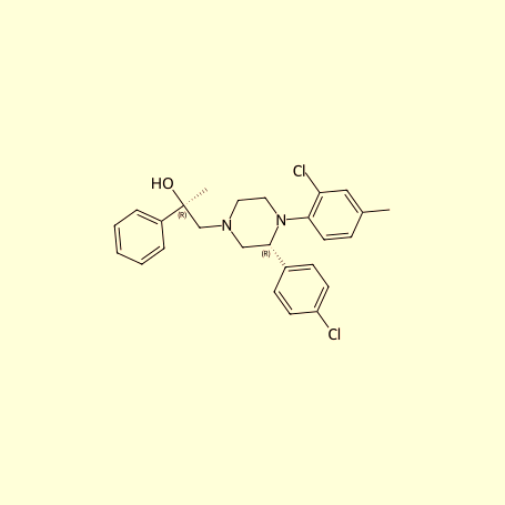 Cc1ccc(N2CCN(C[C@](C)(O)c3ccccc3)C[C@H]2c2ccc(Cl)cc2)c(Cl)c1